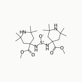 COC(=O)C1(N[S+]([O-])NC2(C(=O)OC)CC(C)(C)NC(C)(C)C2)CC(C)(C)NC(C)(C)C1